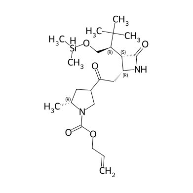 C=CCOC(=O)N1CC(C(=O)C[C@H]2NC(=O)[C@H]2[C@@H](CO[SiH](C)C)C(C)(C)C)C[C@H]1C